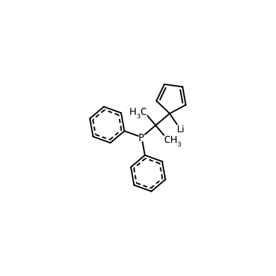 [Li][C]1(C(C)(C)P(c2ccccc2)c2ccccc2)C=CC=C1